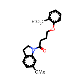 CCOC(=O)c1ccccc1OCCCC(=O)N1CCc2ccc(OC)cc21